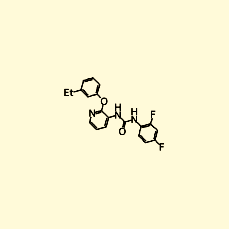 CCc1cccc(Oc2ncccc2NC(=O)Nc2ccc(F)cc2F)c1